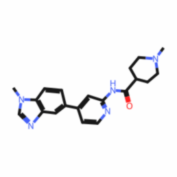 CN1CCC(C(=O)Nc2cc(-c3ccc4c(c3)ncn4C)ccn2)CC1